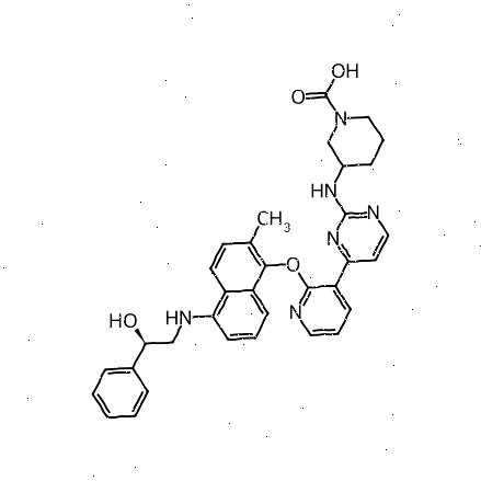 Cc1ccc2c(NC[C@H](O)c3ccccc3)cccc2c1Oc1ncccc1-c1ccnc(NC2CCCN(C(=O)O)C2)n1